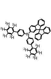 [2H]c1c([2H])c([2H])c(-c2ccc(N(c3ccc(-c4c([2H])c([2H])c([2H])c([2H])c4[2H])cc3)c3ccc4c(c3)C3(c5ccccc5-c5ccccc53)c3ccccc3-4)cc2)c([2H])c1[2H]